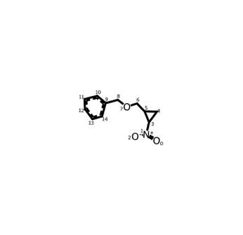 O=[N+]([O-])C1CC1COCc1ccccc1